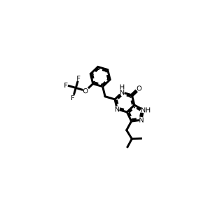 CC(C)Cc1n[nH]c2c(=O)[nH]c(Cc3ccccc3OC(F)(F)F)nc12